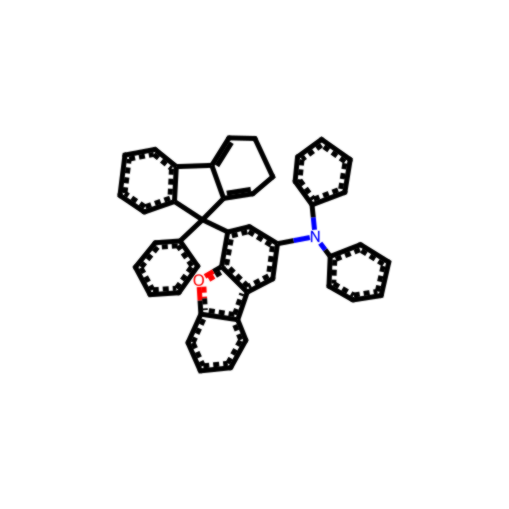 C1=C2C(=CCC1)C(c1ccccc1)(c1cc(N(c3ccccc3)c3ccccc3)cc3c1oc1ccccc13)c1ccccc12